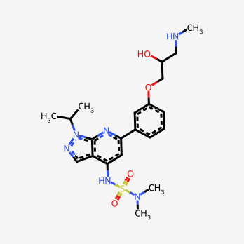 CNCC(O)COc1cccc(-c2cc(NS(=O)(=O)N(C)C)c3cnn(C(C)C)c3n2)c1